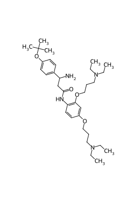 CCN(CC)CCCOc1ccc(NC(=O)CC(N)c2ccc(OC(C)(C)C)cc2)c(OCCCN(CC)CC)c1